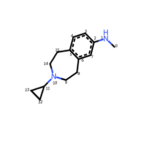 CNc1ccc2c(c1)CCN(C1CC1)CC2